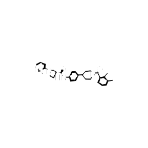 Cc1cccc(C(=O)N2CCC(c3ccc(NC(=O)[C@H]4CCN(c5cccnn5)C4)cc3)CC2)c1C